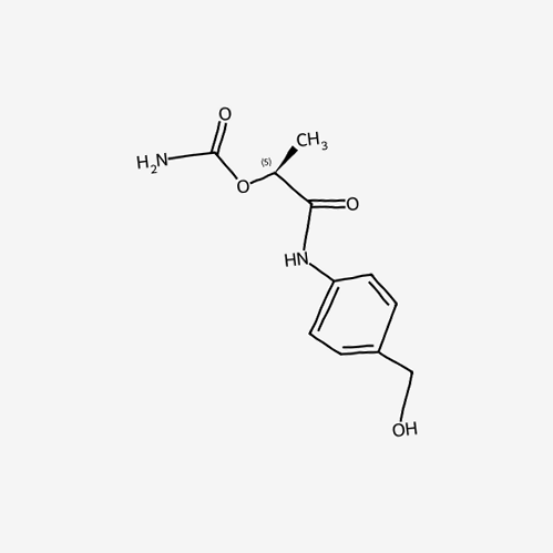 C[C@H](OC(N)=O)C(=O)Nc1ccc(CO)cc1